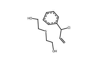 C=CC(Cl)c1ccccc1.OCCSCCO